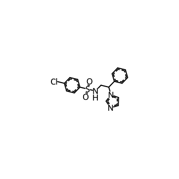 O=S(=O)(NCC(c1ccccc1)n1ccnc1)c1ccc(Cl)cc1